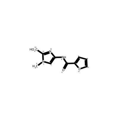 Cn1cc(NC(=O)c2ccco2)nc1C(=O)O